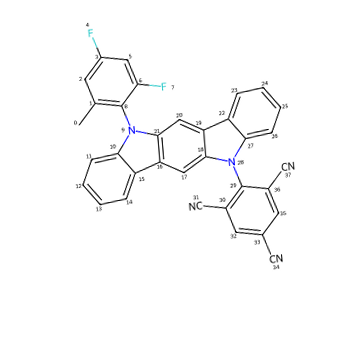 Cc1cc(F)cc(F)c1-n1c2ccccc2c2cc3c(cc21)c1ccccc1n3-c1c(C#N)cc(C#N)cc1C#N